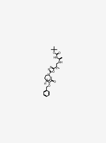 C=C(NC[C@@H](C)c1nnc([C@@H]2CC[C@@H]3CN2C(=O)N3OCc2ccccc2)o1)NC(=O)OC(C)(C)C